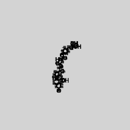 C[C@]12C[C@H](O)C3(F)[C@@H](CCC4=CC(=O)C=C[C@@]43C)C1CCC2C(=O)COC(=O)CNC(=O)Oc1ccc(CON(O)O)cc1